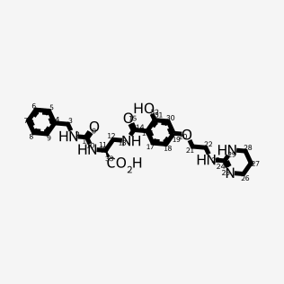 O=C(NCc1ccccc1)N[C@@H](CNC(=O)c1ccc(OCCNC2=NCCCN2)cc1O)C(=O)O